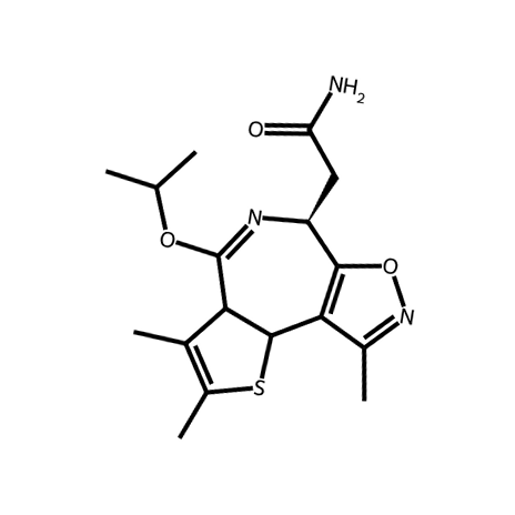 CC1=C(C)C2C(OC(C)C)=N[C@@H](CC(N)=O)c3onc(C)c3C2S1